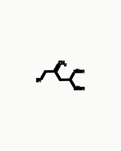 C=C(CC(C)C)CC(CCCCCCCCC)CCCCCCCCC